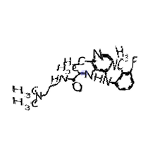 C/C(=N\c1c(C)ncnc1Nc1cccc(F)c1C)C(=O)NCCCN(C)C